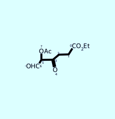 CCOC(=O)CCC(=O)C([C]=O)OC(C)=O